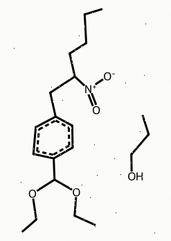 CCCCC(Cc1ccc(C(OCC)OCC)cc1)[N+](=O)[O-].CCCO